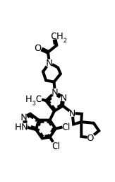 C=CC(=O)N1CCC(n2nc(N3CC4(CCOC4)C3)c(-c3c(Cl)c(Cl)cc4[nH]ncc34)c2C)CC1